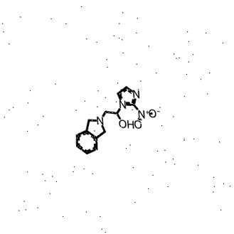 O=[N+]([O-])c1nccn1C(O)CN1Cc2ccccc2C1